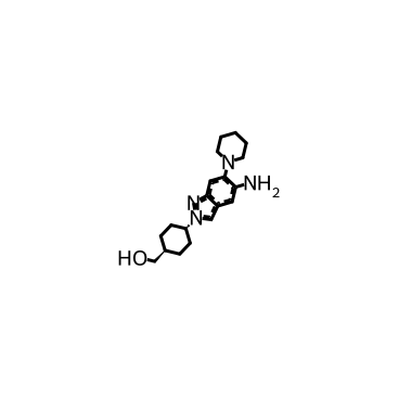 Nc1cc2cn([C@H]3CC[C@H](CO)CC3)nc2cc1N1CCCCC1